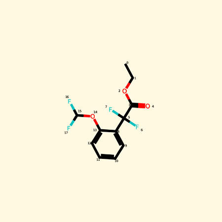 CCOC(=O)C(F)(F)c1ccccc1OC(F)F